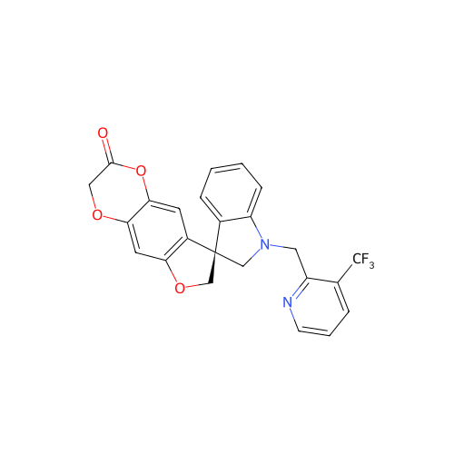 O=C1COc2cc3c(cc2O1)[C@@]1(CO3)CN(Cc2ncccc2C(F)(F)F)c2ccccc21